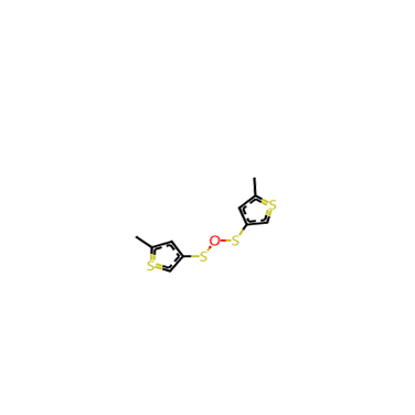 Cc1cc(SOSc2csc(C)c2)cs1